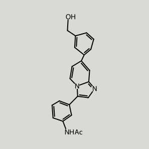 CC(=O)Nc1cccc(-c2cnc3cc(-c4cccc(CO)c4)ccn23)c1